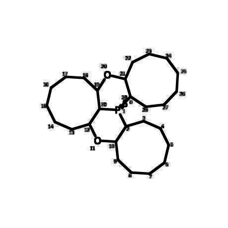 S=P12C3CCCCCCCC3OC3CCCCCCC(OC4CCCCCCCC41)C32